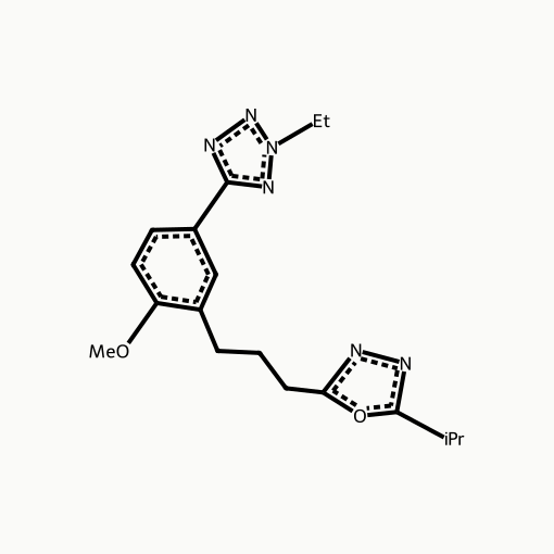 CCn1nnc(-c2ccc(OC)c(CCCc3nnc(C(C)C)o3)c2)n1